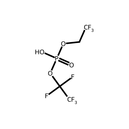 O=P(O)(OCC(F)(F)F)OC(F)(F)C(F)(F)F